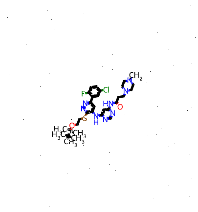 CN1CCN(CCC(=O)Nc2cc(Nc3cc(-c4cc(Cl)ccc4F)nnc3SCCO[Si](C)(C)C(C)(C)C)ncn2)CC1